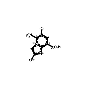 Nc1c(Cl)cc(C(=O)O)c2nc(Cl)cn12